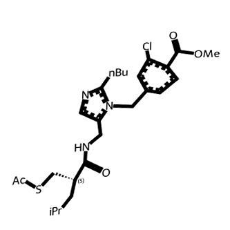 CCCCc1ncc(CNC(=O)[C@@H](CSC(C)=O)CC(C)C)n1Cc1ccc(C(=O)OC)c(Cl)c1